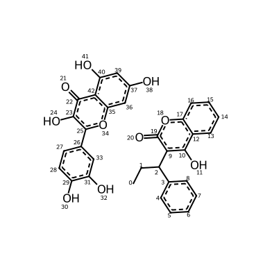 CCC(c1ccccc1)c1c(O)c2ccccc2oc1=O.O=c1c(O)c(-c2ccc(O)c(O)c2)oc2cc(O)cc(O)c12